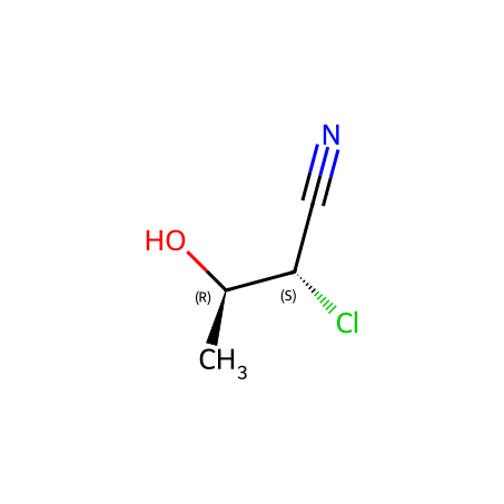 C[C@@H](O)[C@@H](Cl)C#N